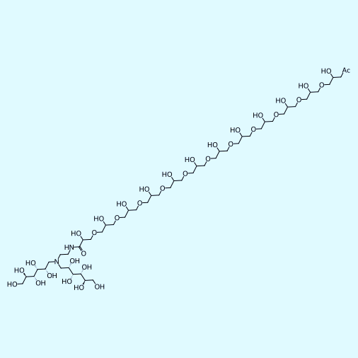 CC(=O)CC(O)COCC(O)COCC(O)COCC(O)COCC(O)COCC(O)COCC(O)COCC(O)COCC(O)COCC(O)COCC(O)COCC(O)C(=O)NCCN(C[C@H](O)[C@@H](O)[C@H](O)[C@H](O)CO)C[C@H](O)[C@@H](O)[C@H](O)[C@H](O)CO